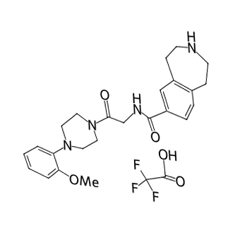 COc1ccccc1N1CCN(C(=O)CNC(=O)c2ccc3c(c2)CCNCC3)CC1.O=C(O)C(F)(F)F